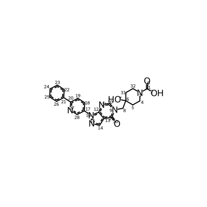 O=C(O)N1CCC(O)(Cn2cnc3c(cnn3-c3ccc(-c4ccccc4)nc3)c2=O)CC1